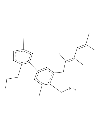 CCCc1ccc(C)cc1-c1cc(C)c(CN)c(C/C(C)=C(\C)C=C(C)C)c1